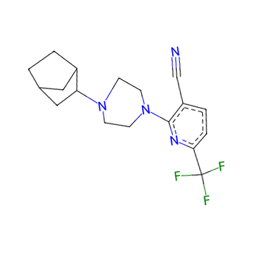 N#Cc1ccc(C(F)(F)F)nc1N1CCN(C2CC3CCC2C3)CC1